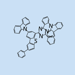 c1ccc(-c2ccc3sc4c(-c5nc(-c6ccccc6)nc(-c6ccccc6-n6c7ccccc7c7ccccc76)n5)cc(-n5c6ccccc6c6ccccc65)cc4c3c2)cc1